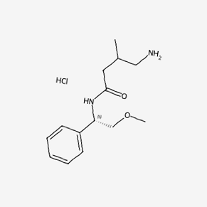 COC[C@@H](NC(=O)CC(C)CN)c1ccccc1.Cl